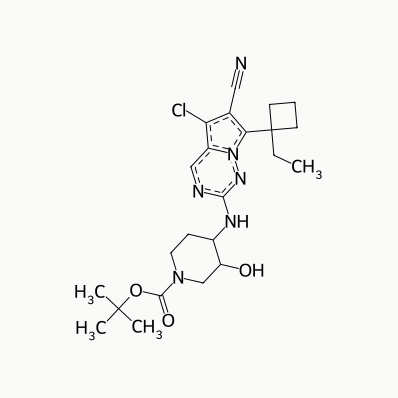 CCC1(c2c(C#N)c(Cl)c3cnc(NC4CCN(C(=O)OC(C)(C)C)CC4O)nn23)CCC1